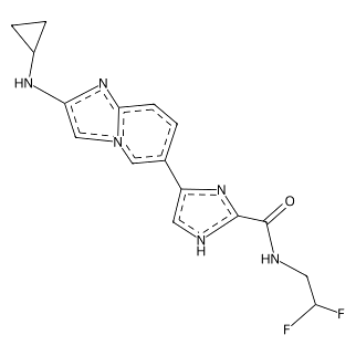 O=C(NCC(F)F)c1nc(-c2ccc3nc(NC4CC4)cn3c2)c[nH]1